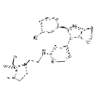 CN1CCN(CCNc2nccc(-c3c(-c4cccc(O)c4)nc4occn34)n2)S1(=O)=O